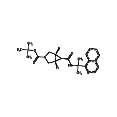 CC(C)(C)OC(=O)N1C[C@@H]2[C@H](C1)[C@H]2C(=O)NC(C)(C)c1nccc2ccccc12